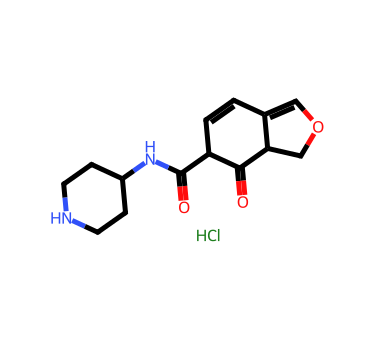 Cl.O=C(NC1CCNCC1)C1C=CC2=COCC2C1=O